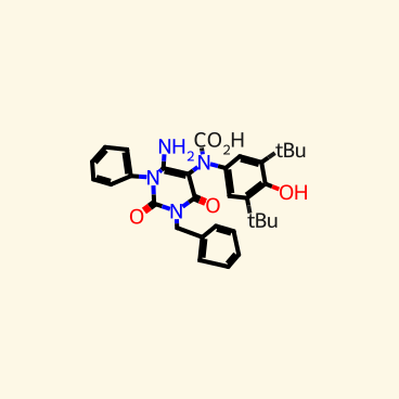 CC(C)(C)c1cc(N(C(=O)O)c2c(N)n(-c3ccccc3)c(=O)n(Cc3ccccc3)c2=O)cc(C(C)(C)C)c1O